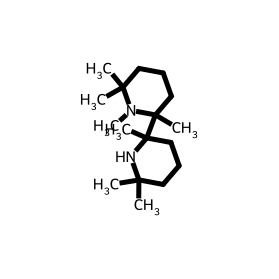 CN1C(C)(C)CCCC1(C)C1(C)CCCC(C)(C)N1